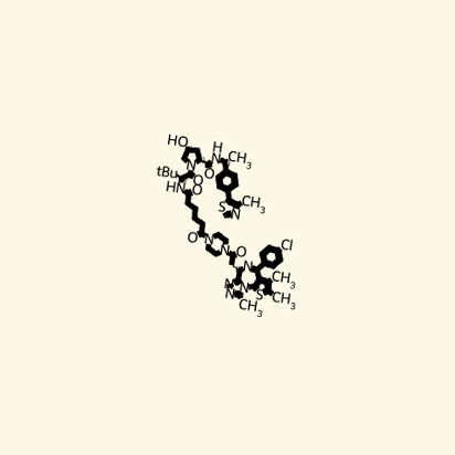 Cc1ncsc1-c1ccc([C@H](C)NC(=O)[C@@H]2C[C@@H](O)CN2C(=O)[C@@H](NC(=O)CCCCC(=O)N2CCN(C(=O)C[C@@H]3N=C(c4ccc(Cl)cc4)c4c(sc(C)c4C)-n4c(C)nnc43)CC2)C(C)(C)C)cc1